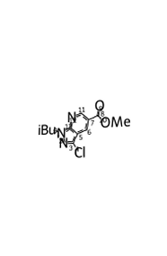 CCC(C)n1nc(Cl)c2cc(C(=O)OC)cnc21